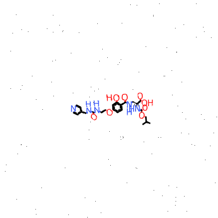 CC(C)COC(=O)N[C@@H](CNC(=O)c1ccc(OCCNC(=O)NCc2ccncc2)cc1O)C(=O)O